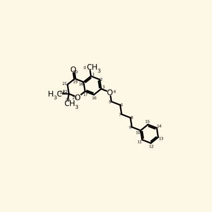 Cc1cc(OCCCCCc2ccccc2)cc2c1C(=O)CC(C)(C)O2